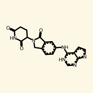 O=C1CCC(N2Cc3ccc(Nc4[nH]cnc5nccc4-5)cc3C2=O)C(=O)N1